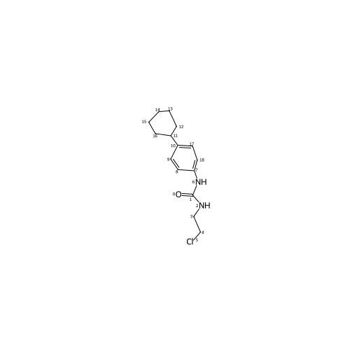 O=C(NCCCl)Nc1ccc(C2CCCCC2)cc1